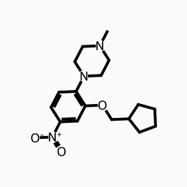 CN1CCN(c2ccc([N+](=O)[O-])cc2OCC2CCCC2)CC1